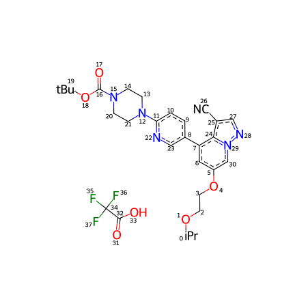 CC(C)OCCOc1cc(-c2ccc(N3CCN(C(=O)OC(C)(C)C)CC3)nc2)c2c(C#N)cnn2c1.O=C(O)C(F)(F)F